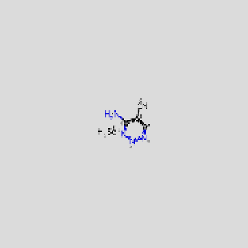 N#Cc1cnnnc1N.[SeH2]